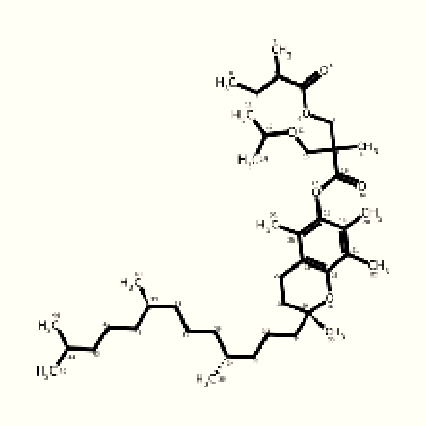 CCC(C)C(=O)OCC(C)(COC(C)C)C(=O)Oc1c(C)c(C)c2c(c1C)CC[C@@](C)(CCC[C@H](C)CCC[C@H](C)CCCC(C)C)O2